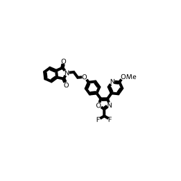 COc1ccc(-c2nc(C(F)F)oc2-c2ccc(OCCN3C(=O)c4ccccc4C3=O)cc2)cn1